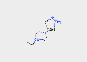 CCN1CCN(c2cn[nH]c2)CC1